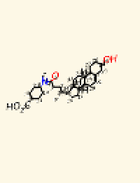 C[C@H](CCC(=O)N(C)[C@H]1CC[C@@H](C(=O)O)CC1)[C@H]1CC[C@H]2[C@@H]3CC=C4C[C@@H](O)CC[C@]4(C)[C@H]3CC[C@]12C